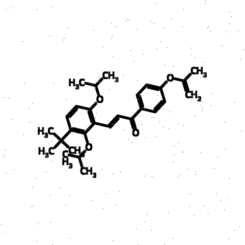 C=C(C)Oc1ccc(C(=O)/C=C/c2c(OC(C)C)ccc(C(C)(C)C)c2OC(C)C)cc1